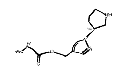 CC(C)(C)NC(=O)OCc1cnn([C@H]2CCNC2)c1